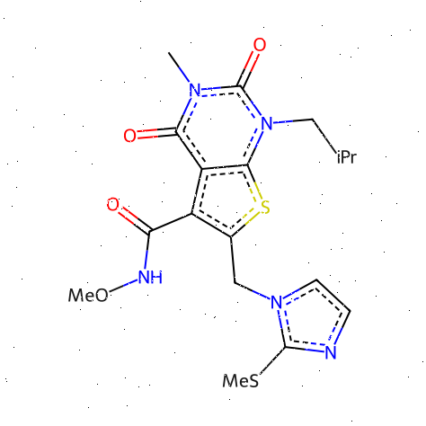 CONC(=O)c1c(Cn2ccnc2SC)sc2c1c(=O)n(C)c(=O)n2CC(C)C